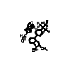 CC1=C2c3cocc3C1[Si]2(C)C.CC1=Cc2c(-c3ccc(C(C(F)(F)F)(C(F)(F)F)C(F)(F)F)cc3)cccc2[CH]1[Zr+2].[Cl-].[Cl-]